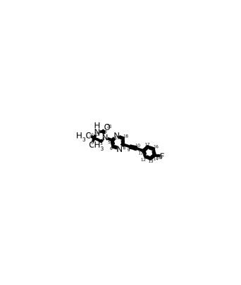 CC1(C)CN(c2cnc(C#Cc3ccc(F)cc3)cn2)C(=O)N1